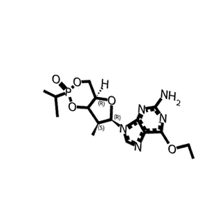 CCOc1nc(N)nc2c1ncn2[C@@H]1O[C@@H]2COP(=O)(C(C)C)OC2[C@@H]1C